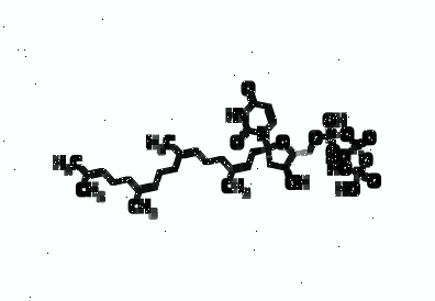 CC(C)=CCCC(C)=CCCC(C)=CCCC(C)=CC[C@]1(n2ccc(=O)[nH]c2=O)C[C@H](O)[C@@H](COP(=O)(O)OP(=O)(O)OP(=O)(O)O)O1